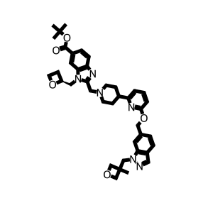 CC1(Cn2ncc3ccc(COc4cccc(C5CCN(Cc6nc7ccc(C(=O)OC(C)(C)C)cc7n6C[C@@H]6CCO6)CC5)n4)cc32)COC1